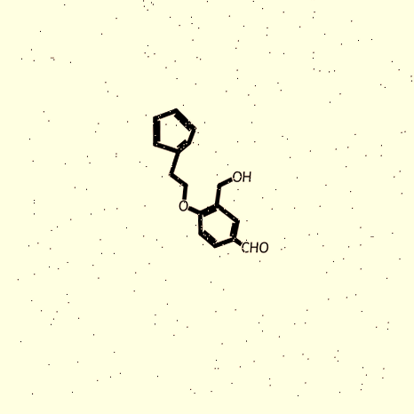 O=Cc1ccc(OCCc2ccccc2)c(CO)c1